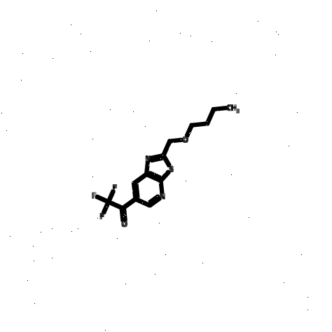 CCCCOCc1nc2cc(C(=O)C(F)(F)F)cnc2s1